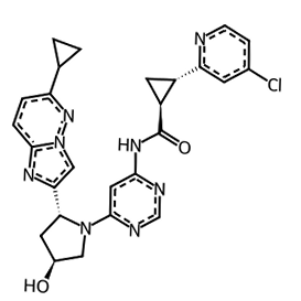 O=C(Nc1cc(N2C[C@@H](O)C[C@@H]2c2cn3nc(C4CC4)ccc3n2)ncn1)[C@H]1C[C@@H]1c1cc(Cl)ccn1